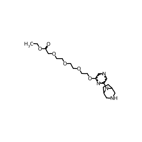 CCOC(=O)COCCOCCOCCOc1cncc(N2C3CCC2CNC3)n1